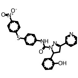 O=C(Nc1ccc(Sc2ccc([N+](=O)[O-])cc2)cc1)N1N=C(c2cccnc2)CC1c1ccccc1O